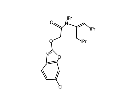 CC(C)C=C(CC(C)C)N(C(=O)COc1nc2ccc(Cl)cc2o1)C(C)C